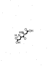 NC(CC(=O)O)C(=O)N(O)CC(=O)O